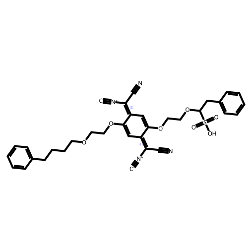 [C-]#[N+]/C(C#N)=c1/cc(OCCOC(Cc2ccccc2)S(=O)(=O)O)/c(=C(\C#N)[N+]#[C-])cc1OCCOCCCCc1ccccc1